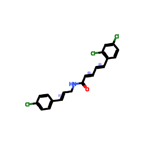 O=C(/C=C/C=C/c1ccc(Cl)cc1Cl)NC/C=C/c1ccc(Cl)cc1